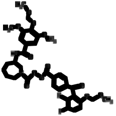 COCOc1ccc(F)c(F)c1C(=O)c1ccc(C(=O)OOC(=O)N2CCCCC(NC(=O)c3cc(OC)c(OCOC)c(OC)c3)C2)cc1